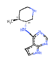 C[C@H]1CCNC[C@@H]1Nc1ncnc2[nH]ccc12